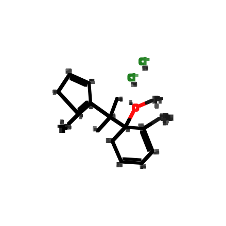 CC(C)OC1(C(C)(C)C2=[C]([Ti+2])CC=C2)CC=CC=C1C(C)(C)C.[Cl-].[Cl-]